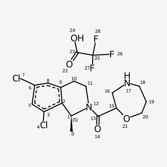 C[C@H]1c2c(Cl)cc(Cl)cc2CCN1C(=O)C1CNCCCO1.O=C(O)C(F)(F)F